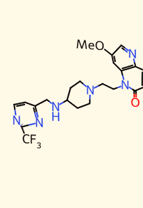 COc1cnc2ccc(=O)n(CCN3CCC(NCc4ccnc(C(F)(F)F)n4)CC3)c2c1